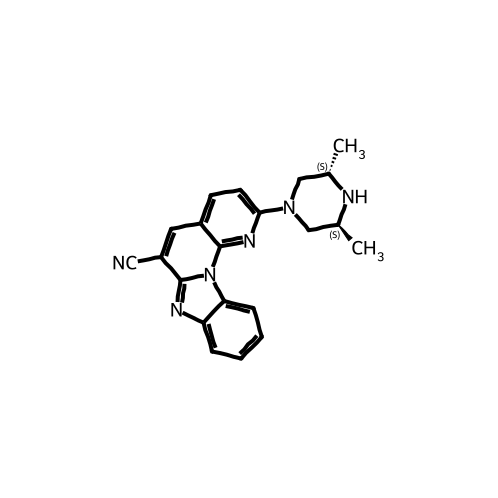 C[C@H]1CN(c2ccc3cc(C#N)c4nc5ccccc5n4c3n2)C[C@H](C)N1